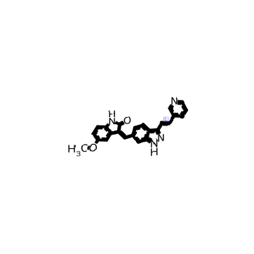 COc1ccc2c(c1)C(=Cc1ccc3c(/C=C/c4cccnc4)n[nH]c3c1)C(=O)N2